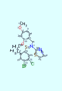 COc1ccc(CN(Sc2cc(Cl)c(Br)cc2C)c2nccs2)c(OC)c1